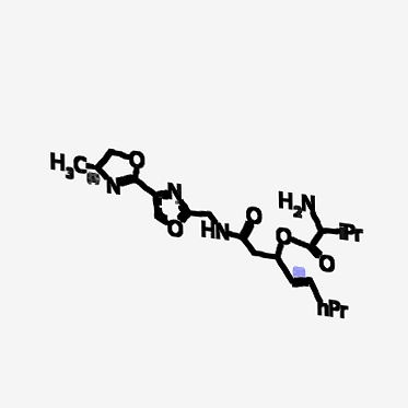 CCC/C=C/C(CC(=O)NCc1nc(C2=N[C@@H](C)CO2)co1)OC(=O)C(N)C(C)C